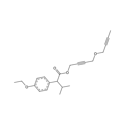 CC#CCOCC#CCOC(=O)C(c1ccc(OCC)cc1)C(C)C